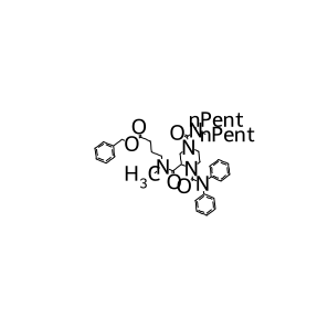 CCCCCN(CCCCC)C(=O)N1CCN(C(=O)N(c2ccccc2)c2ccccc2)C(C(=O)N(C)CCCC(=O)OCc2ccccc2)C1